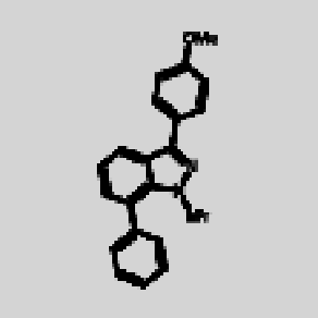 CCCn1nc(-c2ccc(OC)cc2)c2cccc(-c3ccccc3)c21